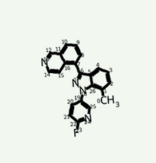 Cc1cccc2c(-c3cccc4cnccc34)nn(-c3ccc(F)nc3)c12